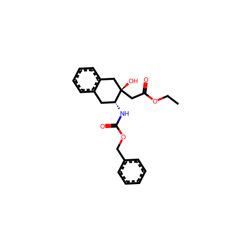 CCOC(=O)C[C@@]1(O)Cc2ccccc2C[C@H]1NC(=O)OCc1ccccc1